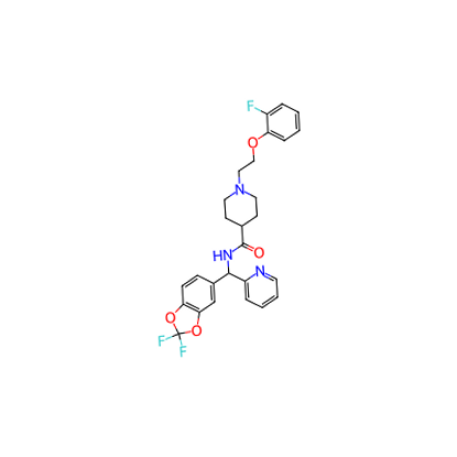 O=C(NC(c1ccc2c(c1)OC(F)(F)O2)c1ccccn1)C1CCN(CCOc2ccccc2F)CC1